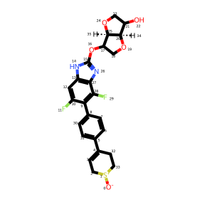 [O-][S+]1CC=C(c2ccc(-c3c(F)cc4[nH]c(OC5CO[C@@H]6C(O)CO[C@H]56)nc4c3F)cc2)CC1